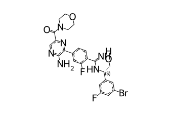 N=C(N[C@H](CO)c1cc(F)cc(Br)c1)c1ccc(-c2nc(C(=O)N3CCOCC3)cnc2N)cc1F